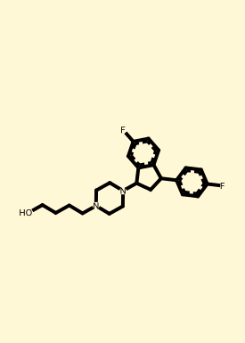 OCCCCN1CCN(C2CC(c3ccc(F)cc3)c3ccc(F)cc32)CC1